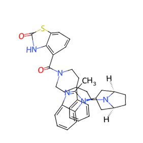 Cc1nc2ccccc2n1[C@H]1C[C@H]2CC[C@@H](C1)N2CCC1(c2ccccc2)CCN(C(=O)c2cccc3sc(=O)[nH]c23)CC1